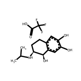 CC(C)N[C@H]1CCc2cc(O)c(O)cc2[C@H]1O.O=C(O)C(F)(F)F